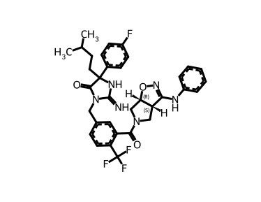 CC(C)CCC1(c2ccc(F)cc2)NC(=N)N(Cc2ccc(C(F)(F)F)c(C(=O)N3C[C@@H]4ON=C(Nc5ccccc5)[C@@H]4C3)c2)C1=O